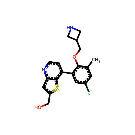 Cc1cc(Cl)cc(-c2ccnc3cc(CO)sc23)c1OCC1CNC1